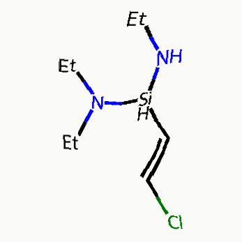 CCN[SiH](C=CCl)N(CC)CC